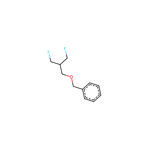 FCC(CF)COCc1ccccc1